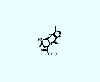 O=CC1=COC2CC1n1c(nc3[nH]cnc3c1=O)N2